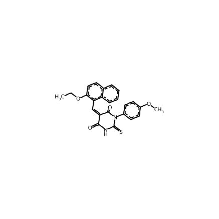 CCOc1ccc2ccccc2c1/C=C1/C(=O)NC(=S)N(c2ccc(OC)cc2)C1=O